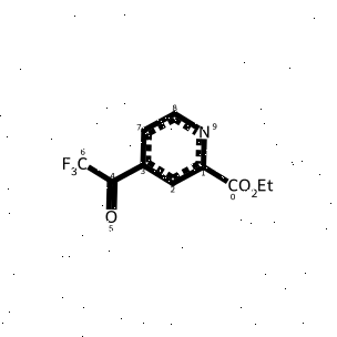 CCOC(=O)c1cc(C(=O)C(F)(F)F)ccn1